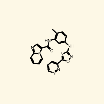 Cc1ccc(Nc2noc(-c3cccnn3)n2)cc1NC(=O)c1cnc2ccccn12